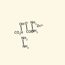 NN.NN.O=C(O)O.O=C([O-])[O-].[Zn+2]